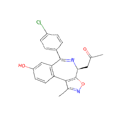 CC(=O)C[C@@H]1N=C(c2ccc(Cl)cc2)c2cc(O)ccc2-c2c(C)noc21